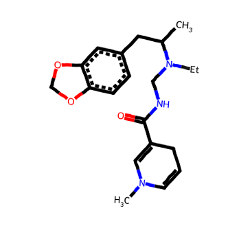 CCN(CNC(=O)C1=CN(C)C=CC1)C(C)Cc1ccc2c(c1)OCO2